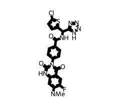 CNc1cc2[nH]c(=O)n(-c3ccc(C(=O)NC(c4nnn[nH]4)c4ccc(Cl)s4)cc3)c(=O)c2cc1F